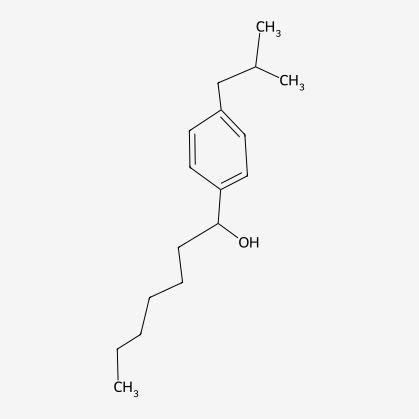 CCCCCCC(O)c1ccc(CC(C)C)cc1